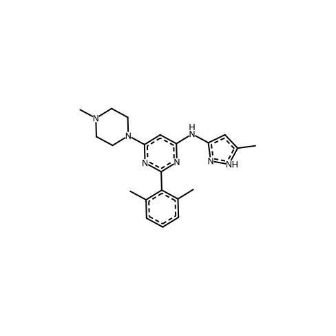 Cc1cc(Nc2cc(N3CCN(C)CC3)nc(-c3c(C)cccc3C)n2)n[nH]1